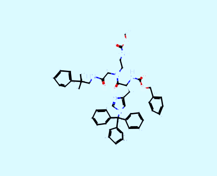 CC(C)(C)OC(=O)NCCN(CC(=O)NCC(C)(C)c1ccccc1)C(=O)[C@H](Cc1cn(C(c2ccccc2)(c2ccccc2)c2ccccc2)cn1)NC(=O)OCc1ccccc1